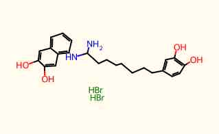 Br.Br.NC(CCCCCCCc1ccc(O)c(O)c1)Nc1cccc2cc(O)c(O)cc12